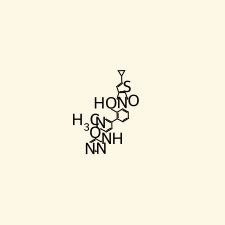 Cn1cc(-c2cccc(N3Cc4cc(C5CC5)sc4C3=O)c2CO)cc(Nc2ccncn2)c1=O